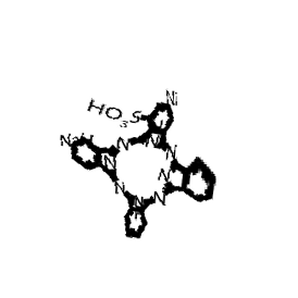 O=S(=O)(O)c1cccc2c3nc4nc(nc5[nH]c(nc6nc(nc([nH]3)c12)-c1ccccc1-6)c1ccccc51)-c1ccccc1-4.[NaH].[Ni]